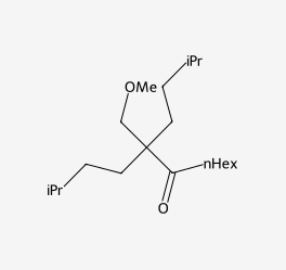 CCCCCCC(=O)C(CCC(C)C)(CCC(C)C)COC